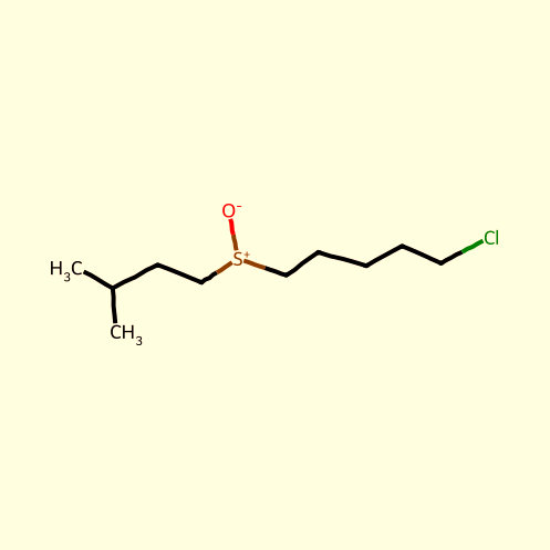 CC(C)CC[S+]([O-])CCCCCCl